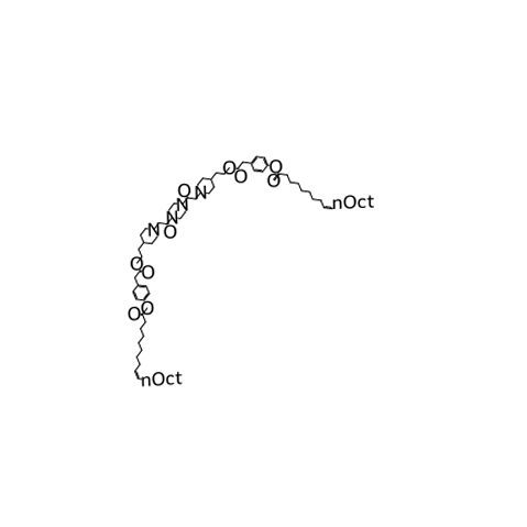 CCCCCCCC/C=C\CCCCCCCC(=O)Oc1ccc(CC(=O)OCCC2CCN(CC(=O)N3CCN(C(=O)CN4CCC(CCOC(=O)Cc5ccc(OC(=O)CCCCCCC/C=C\CCCCCCCC)cc5)CC4)CC3)CC2)cc1